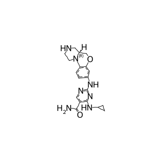 NC(=O)c1cnc(Nc2ccc3c(c2)OC[C@H]2CNCCN32)nc1NC1CC1